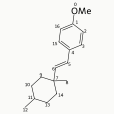 COc1ccc(/C=C/C2(C)CCC(C)CC2)cc1